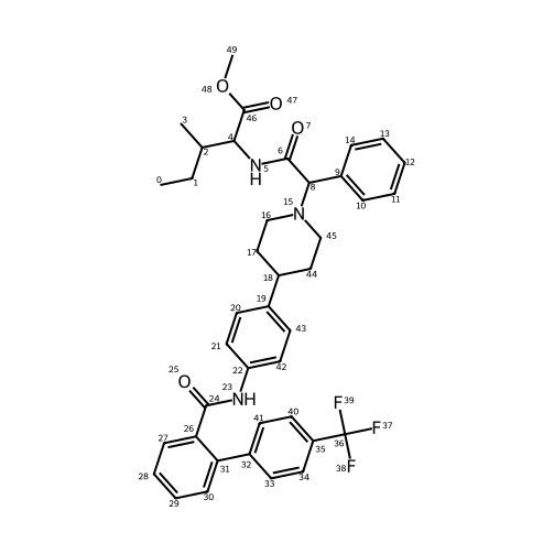 CCC(C)C(NC(=O)C(c1ccccc1)N1CCC(c2ccc(NC(=O)c3ccccc3-c3ccc(C(F)(F)F)cc3)cc2)CC1)C(=O)OC